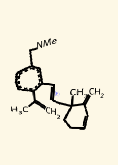 C=C(C)c1ccc(CNC)cc1/C=C/C1(C)CCC=CC1=C